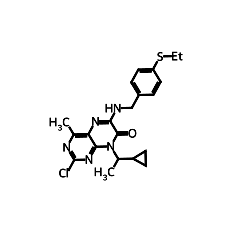 CCSc1ccc(CNc2nc3c(C)nc(Cl)nc3n(C(C)C3CC3)c2=O)cc1